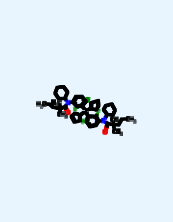 CCCC(C)(C)C(=O)N(c1ccc(F)[c]([Ti]([C]2=CC=CC2)([C]2=CC=CC2)[c]2c(F)ccc(N(C(=O)C(C)(C)CCC)C3CCCCC3)c2F)c1F)C1CCCCC1